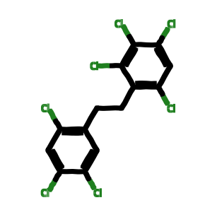 Clc1cc(Cl)c(CCc2c(Cl)cc(Cl)c(Cl)c2Cl)cc1Cl